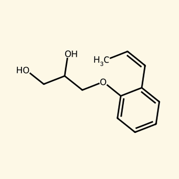 C/C=C\c1ccccc1OCC(O)CO